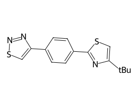 CC(C)(C)c1csc(-c2ccc(-c3csnn3)cc2)n1